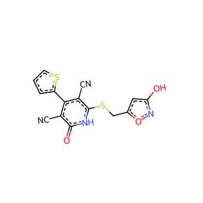 N#Cc1c(SCc2cc(O)no2)[nH]c(=O)c(C#N)c1-c1cccs1